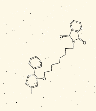 Cc1ccc(-c2ccccc2)c(OCCCCCCCCN2C(=O)c3ccccc3C2=O)c1